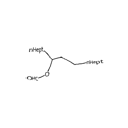 CCCCCCCCCC(CCCCCCC)O[C]=O